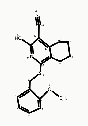 COc1ccccc1CSc1nc(O)c(C#N)c2c1CCCC2